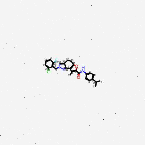 Cc1c(C(=O)Nc2ccc(C(C)C)cc2)oc2c1-c1nn(Cc3c(F)cccc3Cl)cc1CC2